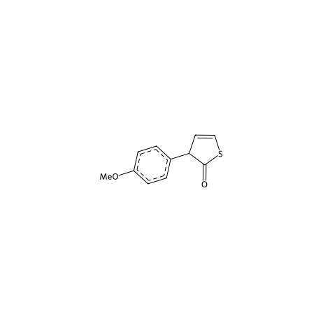 COc1ccc(C2C=CSC2=O)cc1